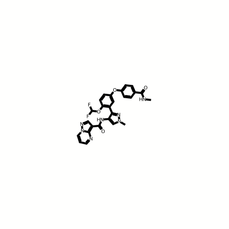 CNC(=O)c1ccc(Oc2ccc(OC(F)F)c(-c3nn(C)cc3NC(=O)c3cnn4cccnc34)c2)cc1